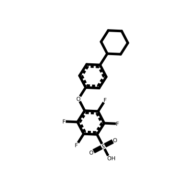 O=S(=O)(O)c1c(F)c(F)c(Oc2ccc(C3CCCCC3)cc2)c(F)c1F